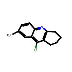 CC(C)(C)c1ccc2nc3c(c(Cl)c2c1)CCCC3